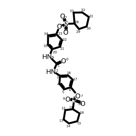 O=C(Nc1ccc(OS(=O)(=O)C2CCCCC2)cc1)Nc1ccc(OS(=O)(=O)C2CCCCC2)cc1